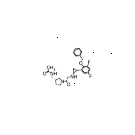 CC(=O)NC[C@H]1CCN(C(=O)CNC2CC2c2cc(F)cc(F)c2OCc2ccccc2)C1